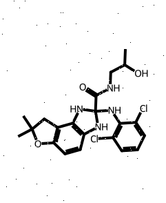 CC(O)CNC(=O)C1(Nc2c(Cl)cccc2Cl)Nc2ccc3c(c2N1)CC(C)(C)O3